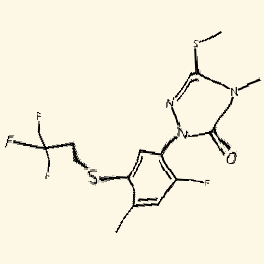 CSc1nn(-c2cc(SCC(F)(F)F)c(C)cc2F)c(=O)n1C